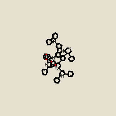 c1ccc(-c2cc(-c3cc(-c4ccc(-c5c(-c6ccccc6)cncc5-n5c6ccc(-n7c8ccccc8c8ccccc87)cc6c6cc(-n7c8ccccc8c8ccccc87)ccc65)cc4)cc(-c4cc(-c5ccccc5)nc(-c5ccccc5)c4)n3)cc(-c3ccccc3)n2)cc1